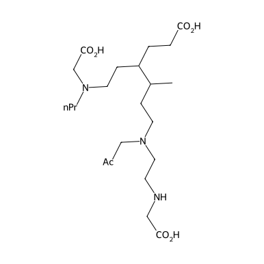 CCCN(CCC(CCC(=O)O)C(C)CCN(CCNCC(=O)O)CC(C)=O)CC(=O)O